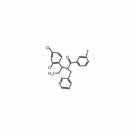 CCC(c1ccc(Cl)cc1Cl)N(Cc1cccnc1)C(=O)c1cccc(F)c1